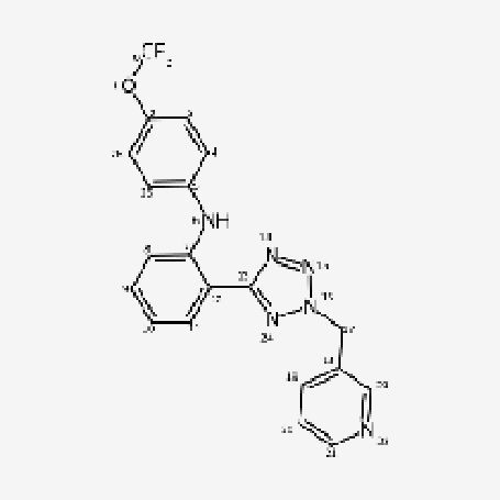 FC(F)(F)Oc1ccc(Nc2ccccc2-c2nnn(Cc3cccnc3)n2)cc1